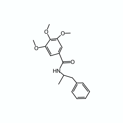 COc1cc(C(=O)NC(C)Cc2ccccc2)cc(OC)c1OC